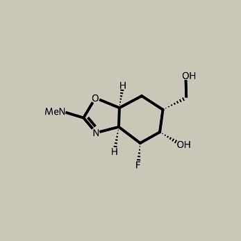 CNC1=N[C@@H]2[C@@H](F)[C@@H](O)[C@@H](CO)C[C@@H]2O1